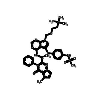 Cc1ccn2nc([C@H](C)Nc3ncnc4c3c(Sc3ccc(NS(C)(=O)=O)cc3)cn4COCC[Si](C)(C)C)n(-c3ccccc3)c(=O)c12